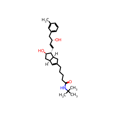 Cc1cccc(C[C@H](O)/C=C/[C@@H]2[C@H]3CC(CCCCC(=O)NC(C)(C)C)=C[C@H]3C[C@H]2O)c1